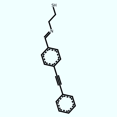 SCC/N=C/c1ccc(C#Cc2ccccc2)cc1